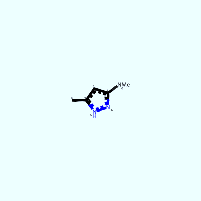 [CH2]Nc1cc(C)[nH]n1